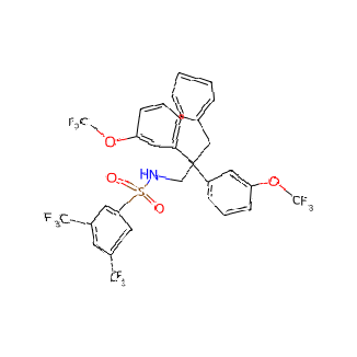 O=S(=O)(NCC(Cc1ccccc1)(c1cccc(OC(F)(F)F)c1)c1cccc(OC(F)(F)F)c1)c1cc(C(F)(F)F)cc(C(F)(F)F)c1